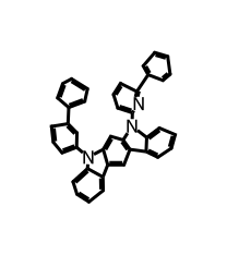 c1ccc(-c2cccc(-n3c4ccccc4c4cc5c6ccccc6n(-c6cccc(-c7ccccc7)n6)c5cc43)c2)cc1